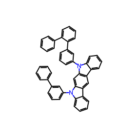 c1ccc(-c2cccc(-n3c4ccccc4c4cc5c6ccccc6n(-c6cccc(-c7ccccc7-c7ccccc7)c6)c5cc43)c2)cc1